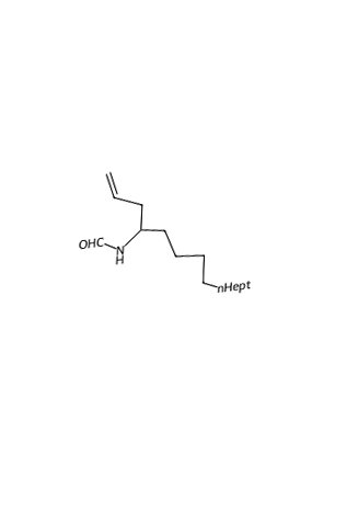 C=CCC(CCCCCCCCCCC)NC=O